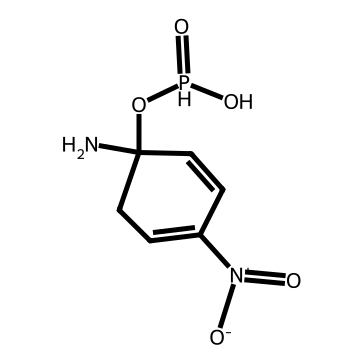 NC1(O[PH](=O)O)C=CC([N+](=O)[O-])=CC1